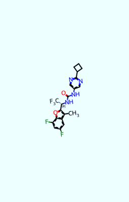 Cc1c([C@@H](NC(=O)Nc2cnc(C3CCC3)nc2)C(F)(F)F)oc2c(F)cc(F)cc12